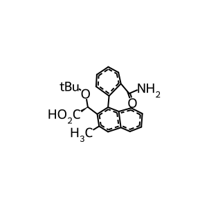 Cc1cc2ccccc2c(-c2ccccc2C(N)=O)c1[C@H](OC(C)(C)C)C(=O)O